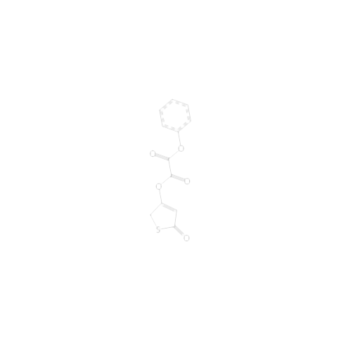 O=C1C=C(OC(=O)C(=O)Oc2ccccc2)CS1